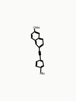 CCCCc1ccc(C#Cc2ccc3cc(OC)ccc3c2)cc1